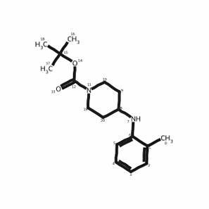 Cc1ccccc1NC1CCN(C(=O)OC(C)(C)C)CC1